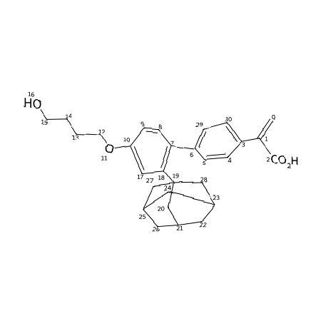 C=C(C(=O)O)c1ccc(-c2ccc(OCCCCO)cc2C23CC4CC(CC(C4)C2)C3)cc1